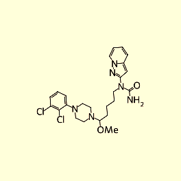 COC(CCCCN(C(N)=O)c1cc2ccccn2n1)N1CCN(c2cccc(Cl)c2Cl)CC1